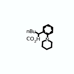 CCCCC(C(=O)O)c1ccccc1N1CCCCC1